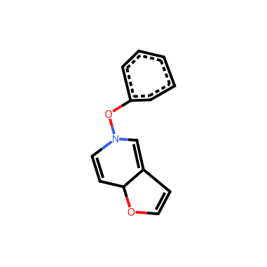 C1=CC2=CN(Oc3ccccc3)C=CC2O1